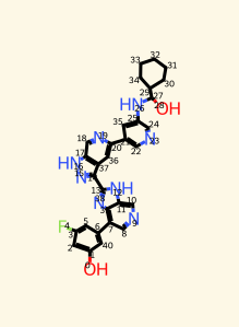 Oc1cc(F)cc(-c2cncc3[nH]c(-c4n[nH]c5cnc(-c6cncc(NC(O)C7CCCCC7)c6)cc45)nc23)c1